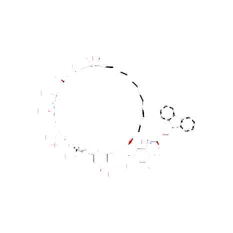 CO[C@]12C[C@@H](O)C[C@@H](O)[C@H](O)CC[C@@H](O)C[C@@H](O)CC(=O)O[C@@H](C)[C@H](C)[C@H](O)[C@@H](C)/C=C/C=C/C=C/C=C/C=C/C=C/C=C/[C@H](O[C@@H]3O[C@H](C)[C@@H](O)[C@H](NC(=O)OCC4c5ccccc5-c5ccccc54)[C@@H]3O)CC(O1)[C@H](C(=O)O)[C@@H](O)C2